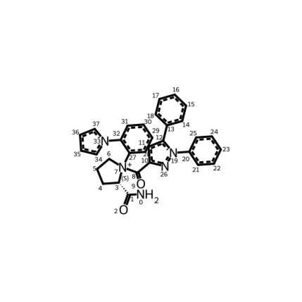 NC(=O)[C@@H]1CCC[N+]1(C(=O)c1cc(-c2ccccc2)n(-c2ccccc2)n1)c1ccccc1-n1cccc1